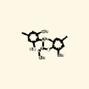 Cc1cc(C(C)(C)C)c([O][Al]([O]c2c(C(C)(C)C)cc(C)cc2C(C)(C)C)[O]C(C)(C)C)c(C(C)(C)C)c1